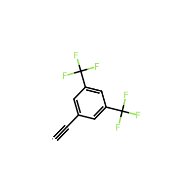 [C]#Cc1cc(C(F)(F)F)cc(C(F)(F)F)c1